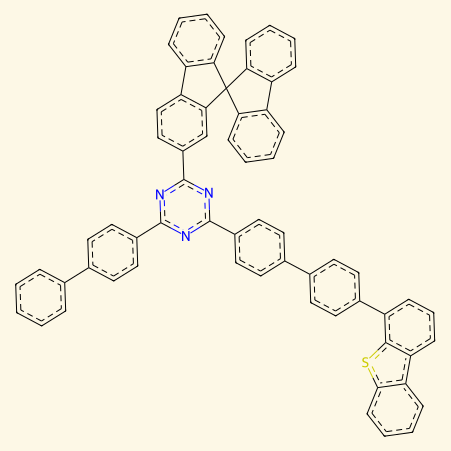 c1ccc(-c2ccc(-c3nc(-c4ccc(-c5ccc(-c6cccc7c6sc6ccccc67)cc5)cc4)nc(-c4ccc5c(c4)C4(c6ccccc6-c6ccccc64)c4ccccc4-5)n3)cc2)cc1